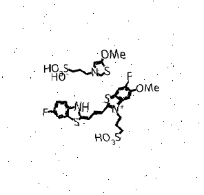 COC1=CN(CCCS(=O)(=O)O)CS1.COc1cc2c(cc1F)sc(C=CC=C1Nc3ccc(F)cc3S1)[n+]2CCCS(=O)(=O)O.[OH-]